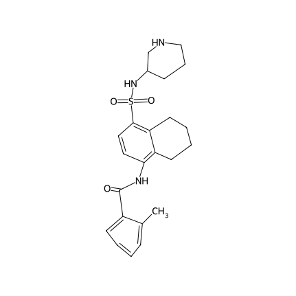 Cc1ccccc1C(=O)Nc1ccc(S(=O)(=O)NC2CCCNC2)c2c1CCCC2